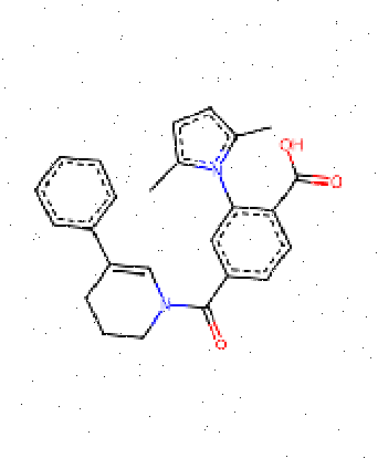 Cc1ccc(C)n1-c1cc(C(=O)N2C=C(c3ccccc3)CCC2)ccc1C(=O)O